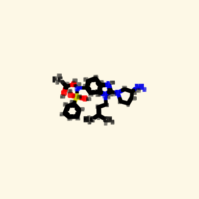 CC(C)=CCn1c(N2CCCC(N)C2)nc2ccc(N(OC(=O)C(F)(F)F)S(=O)(=O)c3ccccc3)cc21